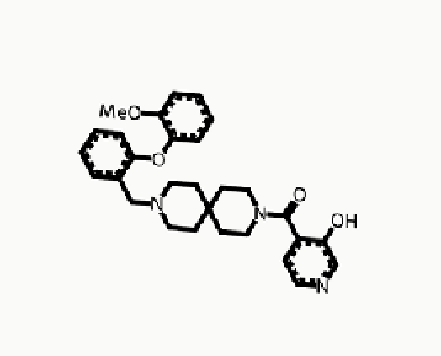 COc1ccccc1Oc1ccccc1CN1CCC2(CC1)CCN(C(=O)c1ccncc1O)CC2